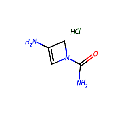 Cl.NC(=O)N1C=C(N)C1